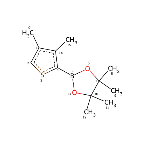 Cc1csc(B2OC(C)(C)C(C)(C)O2)c1C